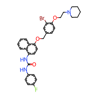 O=C(Nc1ccc(F)cc1)Nc1ccc(OCc2ccc(OCCN3CCCCC3)c(Br)c2)c2ccccc12